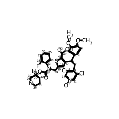 COc1ccc(C(Cc2c(Cl)c[n+]([O-])cc2Cl)c2cc(CN(C(=O)O[C@H]3CN4CCC3CC4)c3ccccc3F)sc2C(=O)O)cc1OC